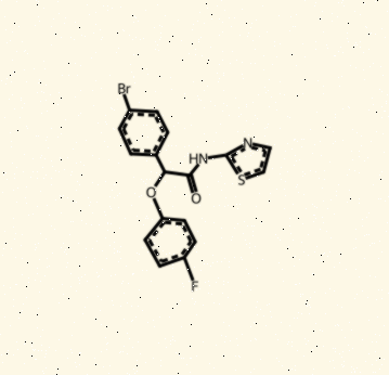 O=C(Nc1nccs1)C(Oc1ccc(F)cc1)c1ccc(Br)cc1